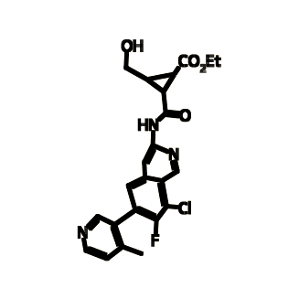 CCOC(=O)C1C(CO)C1C(=O)Nc1cc2cc(-c3cnccc3C)c(F)c(Cl)c2cn1